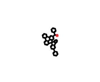 O=C(c1ccccc1)c1cc2c3c(c1)c1ccccc1c1cccc(c13)C21c2ccccc2-c2cc(-c3ccccc3)ccc21